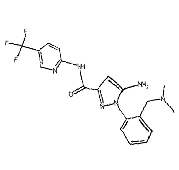 CN(C)Cc1ccccc1-n1nc(C(=O)Nc2ccc(C(F)(F)F)cn2)cc1N